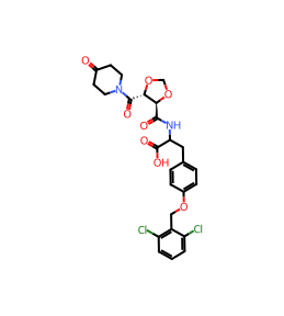 O=C1CCN(C(=O)[C@@H]2OCO[C@H]2C(=O)NC(Cc2ccc(OCc3c(Cl)cccc3Cl)cc2)C(=O)O)CC1